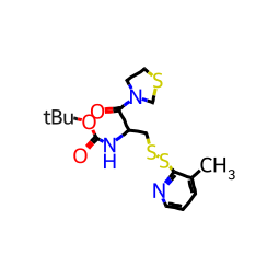 Cc1cccnc1SSCC(NC(=O)OC(C)(C)C)C(=O)N1CCSC1